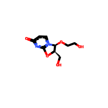 O=c1ccn2c(n1)O[C@@H](CO)[C@@H]2OCCO